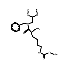 CCOC(CN(Cc1ccccc1)C(=O)C(N)CCCCNC(=O)OC(C)(C)C)OCC